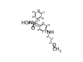 COCCCNc1ccc(C(C(=O)NO)c2ccccc2)cc1